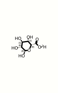 [2H]OC(=O)[C@@H]1O[C@@H](O)[C@H](O)[C@@H](O)[C@@H]1O